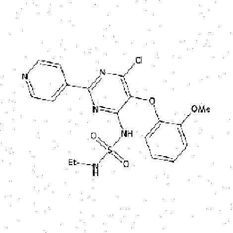 CCNS(=O)(=O)Nc1nc(-c2ccncc2)nc(Cl)c1Oc1ccccc1OC